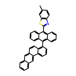 Cc1ccc2nc(-c3c4ccccc4c(-c4cccc5c4ccc4cc6ccccc6cc45)c4ccccc34)sc2c1